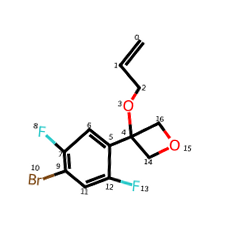 C=CCOC1(c2cc(F)c(Br)cc2F)COC1